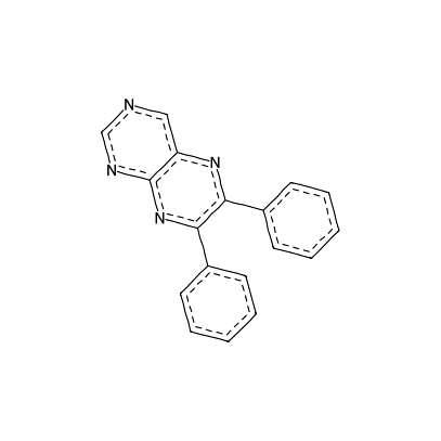 c1ccc(-c2nc3cncnc3nc2-c2ccccc2)cc1